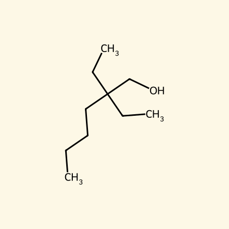 CCCCC(CC)(CC)CO